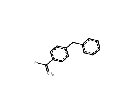 C=C(CC)c1ccc(Cc2ccccc2)cc1